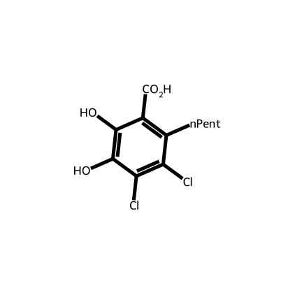 CCCCCc1c(Cl)c(Cl)c(O)c(O)c1C(=O)O